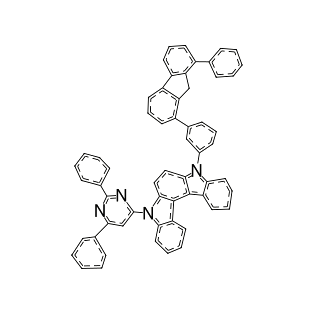 c1ccc(-c2cc(-n3c4ccccc4c4c5c6ccccc6n(-c6cccc(-c7cccc8c7Cc7c(-c9ccccc9)cccc7-8)c6)c5ccc43)nc(-c3ccccc3)n2)cc1